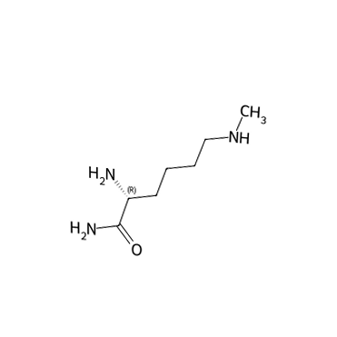 CNCCCC[C@@H](N)C(N)=O